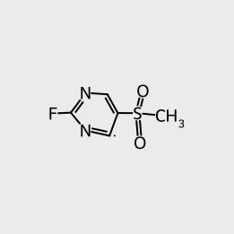 CS(=O)(=O)c1[c]nc(F)nc1